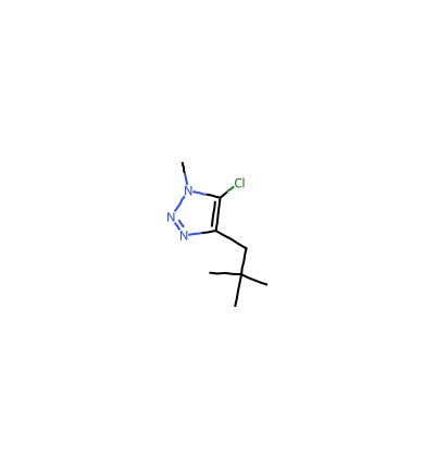 Cn1nnc(CC(C)(C)C)c1Cl